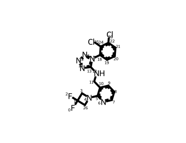 FC1(F)CN(c2ncccc2CNc2nnnn2-c2cccc(Cl)c2Cl)C1